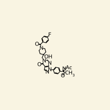 CC(=O)N=S(C)(=O)c1ccc(-n2ncc3c(=O)n(CC4(O)CCN(C(=O)c5ccc(F)cc5)CC4)cnc32)cc1